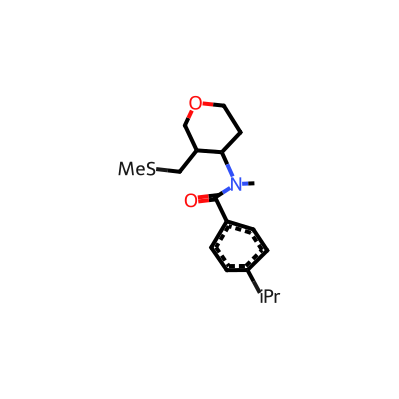 CSCC1COCCC1N(C)C(=O)c1ccc(C(C)C)cc1